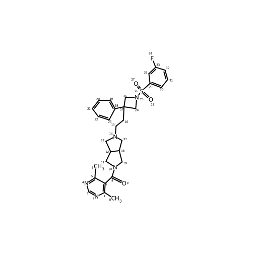 Cc1ncnc(C)c1C(=O)N1CC2CN(CCC3(c4ccccc4)CN(S(=O)(=O)c4cccc(F)c4)C3)CC2C1